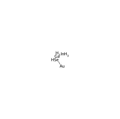 [GaH3].[InH3].[SeH][Au]